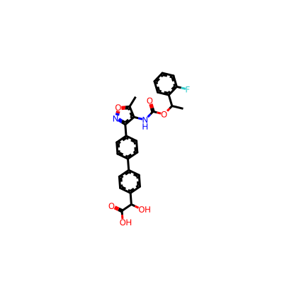 Cc1onc(-c2ccc(-c3ccc(C(O)C(=O)O)cc3)cc2)c1NC(=O)OC(C)c1ccccc1F